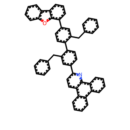 c1ccc(Cc2cc(-c3ccc4c5ccccc5c5ccccc5c4n3)ccc2-c2ccc(-c3cccc4c3oc3ccccc34)cc2Cc2ccccc2)cc1